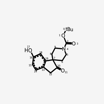 CC(C)(C)OC(=O)N1CCC2(CC1)C(=O)Cc1ccc(O)cc12